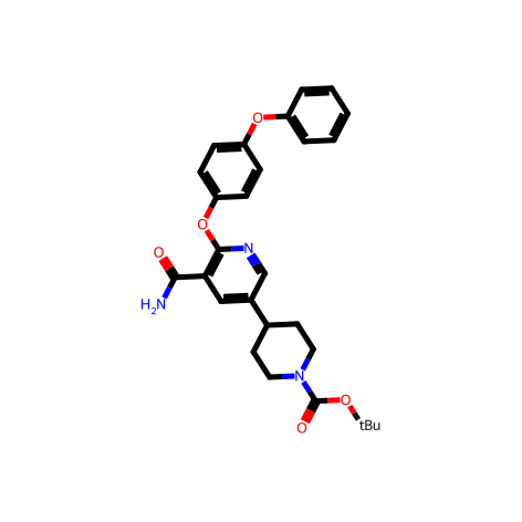 CC(C)(C)OC(=O)N1CCC(c2cnc(Oc3ccc(Oc4ccccc4)cc3)c(C(N)=O)c2)CC1